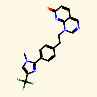 Cn1cc(C(F)(F)F)nc1-c1ccc(CCn2cncc3ccc(=O)nc2-3)cc1